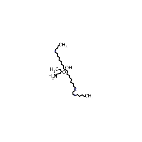 CCC/C=C\CCCCCCCCC(O)(CCCCCCCC/C=C\C/C=C\CCCCC)OC(CC)CCN